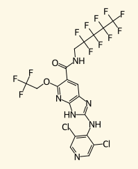 O=C(NCC(F)(F)C(F)(F)C(F)(F)C(F)(F)F)c1cc2nc(Nc3c(Cl)cncc3Cl)[nH]c2nc1OCC(F)(F)F